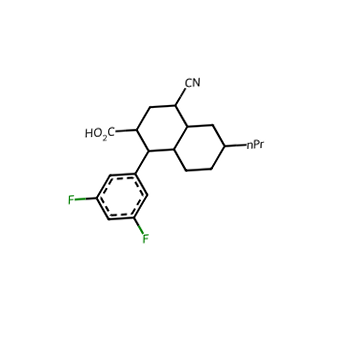 CCCC1CCC2C(C1)C(C#N)CC(C(=O)O)C2c1cc(F)cc(F)c1